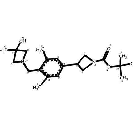 Cc1cc(C2CN(C(=O)OC(C)(C)C)C2)cc(C)c1CN1CC(C)(O)C1